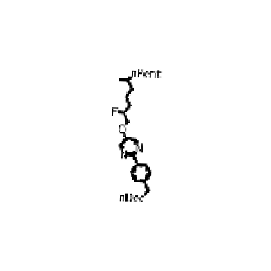 CCCCCCCCCCCc1ccc(-c2ncc(OCC(F)CCCC(C)CCCCC)cn2)cc1